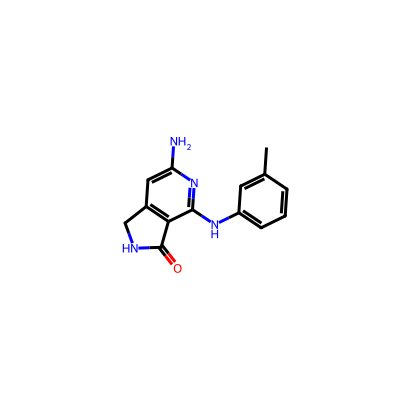 Cc1cccc(Nc2nc(N)cc3c2C(=O)NC3)c1